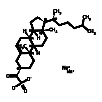 CC(C)CCC[C@@H](C)[C@H]1CC[C@H]2[C@@H]3CC=C4C[C@@H](C(=O)P(=O)([O-])[O-])CC[C@]4(C)[C@H]3CC[C@]12C.[Na+].[Na+]